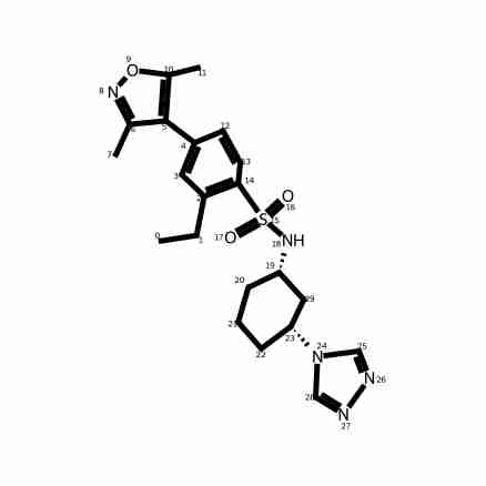 CCc1cc(-c2c(C)noc2C)ccc1S(=O)(=O)N[C@H]1CCC[C@@H](n2cnnc2)C1